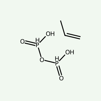 C=CC.O=[PH](O)O[PH](=O)O